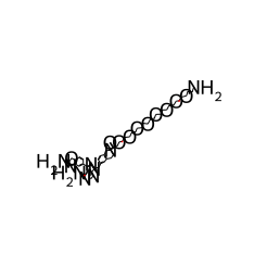 NCCOCCOCCOCCOCCOCCOCCOCCOCC(=O)N1CCc2cc(Cn3nc(-c4ccc5oc(N)nc5c4)c4c(N)ncnc43)ccc2C1